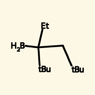 BC(CC)(CC(C)(C)C)C(C)(C)C